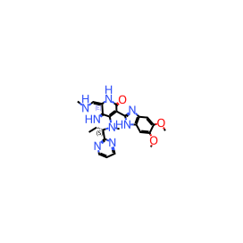 CC[C@@H](c1ncccn1)N(C)C1=C(c2nc3cc(OC)c(OC)cc3[nH]2)C(=O)N/C(=C/NC)C1=N